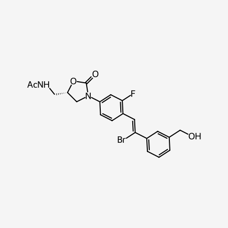 CC(=O)NC[C@H]1CN(c2ccc(C=C(Br)c3cccc(CO)c3)c(F)c2)C(=O)O1